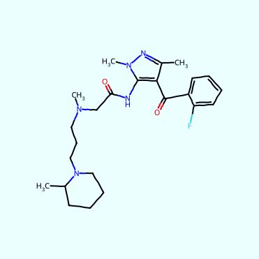 Cc1nn(C)c(NC(=O)CN(C)CCCN2CCCCC2C)c1C(=O)c1ccccc1F